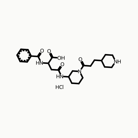 Cl.O=C(CC(NC(=O)c1ccccc1)C(=O)O)NC1CCCN(C(=O)CCC2CCNCC2)C1